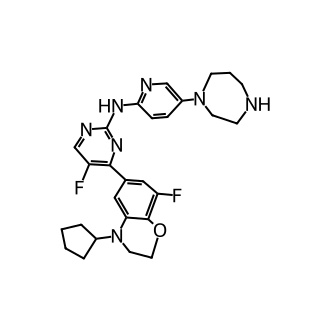 Fc1cnc(Nc2ccc(N3CCCNCC3)cn2)nc1-c1cc(F)c2c(c1)N(C1CCCC1)CCO2